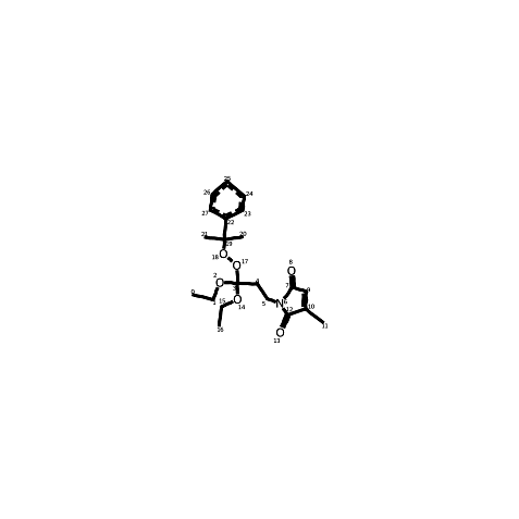 CCOC(CCN1C(=O)C=C(C)C1=O)(OCC)OOC(C)(C)c1ccccc1